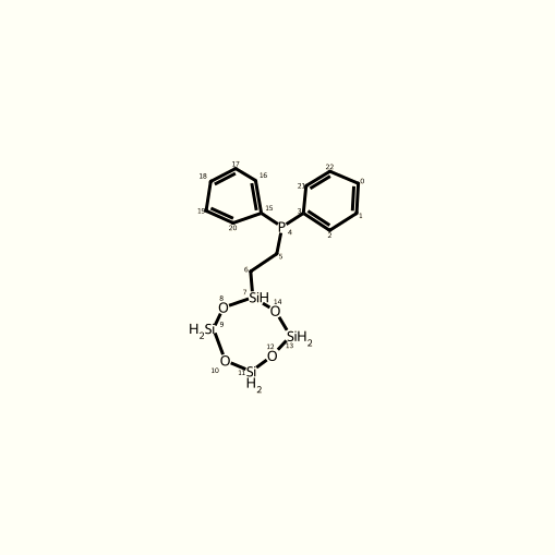 c1ccc(P(CC[SiH]2O[SiH2]O[SiH2]O[SiH2]O2)c2ccccc2)cc1